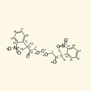 CC(C)(C(=O)COOOCC(=O)C(C)(C)c1ccccc1[N+](=O)[O-])c1ccccc1[N+](=O)[O-]